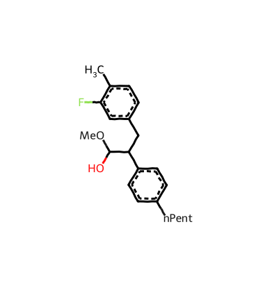 CCCCCc1ccc(C(Cc2ccc(C)c(F)c2)C(O)OC)cc1